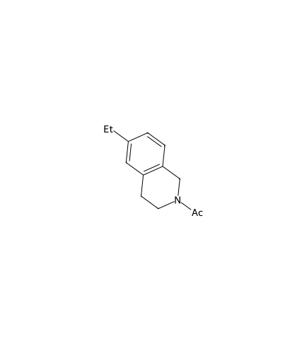 CCc1ccc2c(c1)CCN(C(C)=O)C2